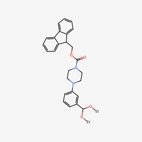 CCOC(OCC)c1cccc(N2CCN(C(=O)OCC3c4ccccc4-c4ccccc43)CC2)c1